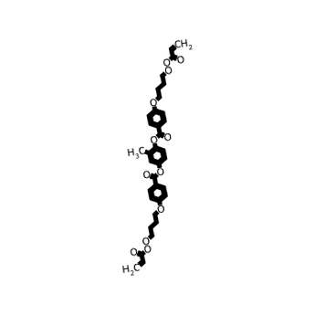 C=CC(=O)OOCCCCOc1ccc(C(=O)Oc2ccc(OC(=O)c3ccc(OCCCCOOC(=O)C=C)cc3)c(C)c2)cc1